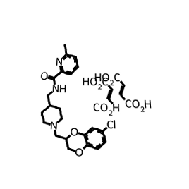 Cc1cccc(C(=O)NCC2CCN(CC3COc4ccc(Cl)cc4O3)CC2)n1.O=C(O)/C=C/C(=O)O.O=C(O)/C=C/C(=O)O